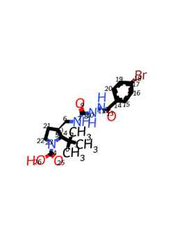 CC(C)(C)C1[C@H](CNC(=O)NNC(=O)c2ccc(Br)cc2)CCN1C(=O)O